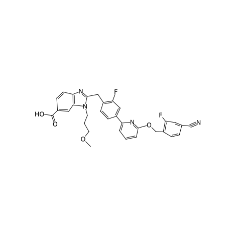 COCCCn1c(Cc2ccc(-c3cccc(OCc4ccc(C#N)cc4F)n3)cc2F)nc2ccc(C(=O)O)cc21